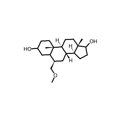 COC[C@@H]1C[C@@H]2[C@H](CC[C@]3(C)C(O)CC[C@@H]23)[C@@]2(C)CCC(O)CC12